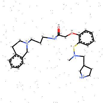 CN(CC1CCNC1)Sc1ccccc1OCC(=O)NCCCN1CCc2ccccc2C1